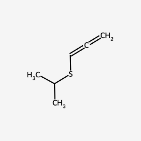 C=C=CSC(C)C